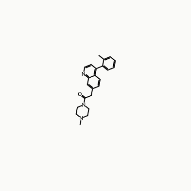 Cc1ccccc1-c1ccnc2cc(CC(=O)N3CCN(C)CC3)ccc12